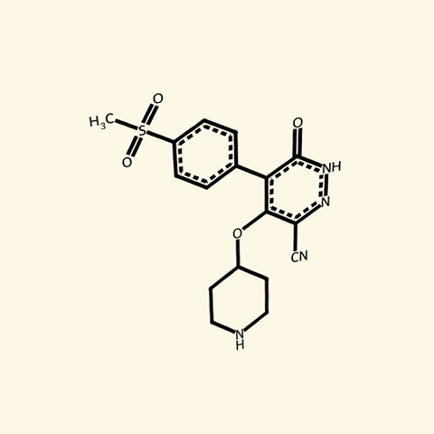 CS(=O)(=O)c1ccc(-c2c(OC3CCNCC3)c(C#N)n[nH]c2=O)cc1